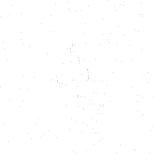 C=C(OCC[N+](C)(C)C)C(=O)OCCO.O=P(O)(O)O